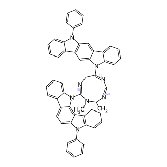 CC1/N=C\N=C(\n2c3ccccc3c3cc4c(cc32)c2ccccc2n4-c2ccccc2)C/N=C(/n2c3ccccc3c3ccc4c(c5c(n4-c4ccccc4)C=CCC5)c32)N1C